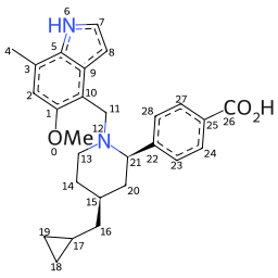 COc1cc(C)c2[nH]ccc2c1CN1CC[C@H](CC2CC2)C[C@@H]1c1ccc(C(=O)O)cc1